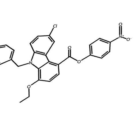 CCOc1ccc(C(=O)Oc2ccc([N+](=O)[O-])cc2)c2c3cc(Cl)ccc3n(Cc3ccccc3)c12